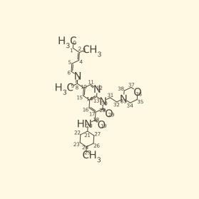 CC\C(C)=C/C=C\N=C(/C)c1cnc2c(c1)cc(C(=O)NC1CCC(C)CC1)c(=O)n2CCN1CCOCC1